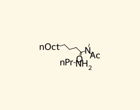 CCCCCCCCCCCC(=O)N(C)C(C)=O.CCCN